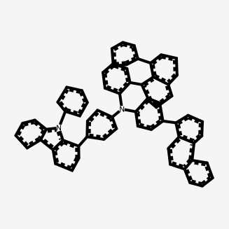 c1ccc(-c2cccc3cccc(-c4ccccc4N(c4ccc(-c5cccc6c5ccc5ccccc56)cc4)c4ccc(-c5cccc6c7ccccc7n(-c7ccccc7)c56)cc4)c23)cc1